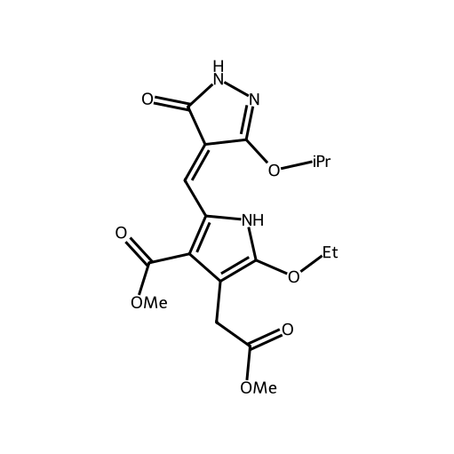 CCOc1[nH]c(C=C2C(=O)NN=C2OC(C)C)c(C(=O)OC)c1CC(=O)OC